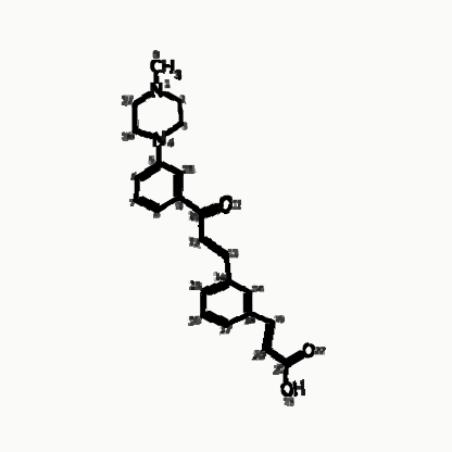 CN1CCN(c2cccc(C(=O)C=Cc3cccc(C=CC(=O)O)c3)c2)CC1